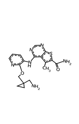 Cc1c(C(N)=O)sc2ncnc(Nc3cccnc3OCC3(CN)CC3)c12